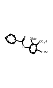 COc1ccc(OC(=O)c2ccccc2)c(OC)c1C(=O)O